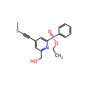 CCOP(=O)(c1ccccc1)c1cc(C#CSI)cc(CO)n1